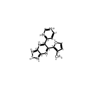 Cc1ccoc1-c1nc2nsnc2nc1-c1ccncn1